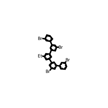 CCc1cc(-c2cc(Br)cc(-c3cccc(Br)c3)c2)cc(-c2cc(Br)cc(-c3cccc(Br)c3)c2)c1